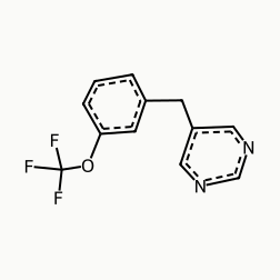 FC(F)(F)Oc1cccc(Cc2cncnc2)c1